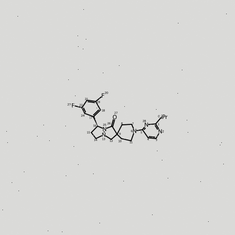 CC(C)c1nccc(N2CCC3(CC2)CN2CC[C@@H](c4cc(F)cc(F)c4)N2C3=O)n1